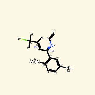 C=C/N=C(\C=C(/C)C(C)(C)F)c1cc(C(C)(C)C)ccc1NC